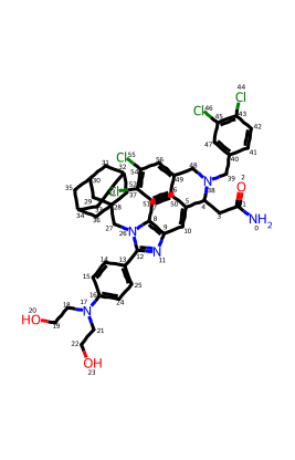 NC(=O)CC(c1ccc2c(c1)nc(-c1ccc(N(CCO)CCO)cc1)n2CC12CC3CC(CC(C3)C1)C2)N(Cc1ccc(Cl)c(Cl)c1)Cc1ccc(Cl)c(Cl)c1